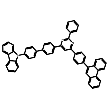 c1ccc(-c2nc(-c3ccc(-c4ccc(-n5c6ccccc6c6ccccc65)cc4)cc3)cc(-c3ccc(-c4cc5ccccc5c5ccccc45)cc3)n2)cc1